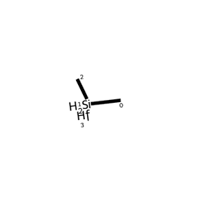 C[SiH2]C.[Hf]